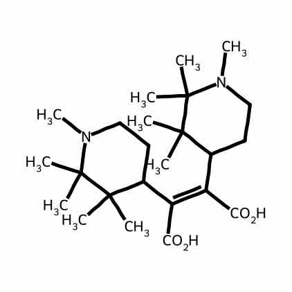 CN1CCC(C(C(=O)O)=C(C(=O)O)C2CCN(C)C(C)(C)C2(C)C)C(C)(C)C1(C)C